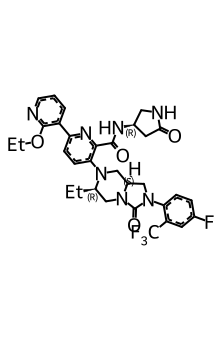 CCOc1ncccc1-c1ccc(N2C[C@H]3CN(c4ccc(F)cc4C(F)(F)F)C(=O)N3C[C@H]2CC)c(C(=O)N[C@H]2CNC(=O)C2)n1